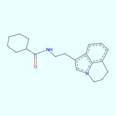 O=C(NCCc1cn2c3c(cccc13)CCC2)C1CCCCC1